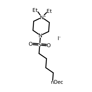 CCCCCCCCCCCCCCS(=O)(=O)N1CC[N+](CC)(CC)CC1.[I-]